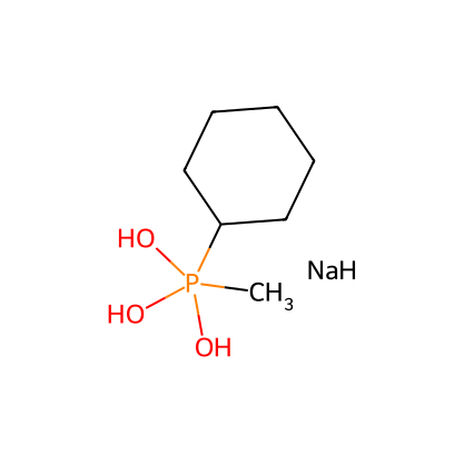 CP(O)(O)(O)C1CCCCC1.[NaH]